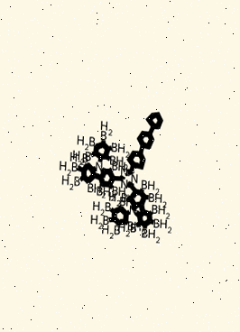 Bc1c(B)c(B)c(-n2c3c(B)c(B)c(B)c(B)c3c3c(B)c(B)c(-c4nc(-c5ccc(-c6ccc(-c7ccccc7)cc6)cc5)nc(-c5c(B)c(B)c6c7c(B)c(B)c(B)c(B)c7n(-c7c(B)c(B)c(B)c(B)c7B)c6c5B)n4)c(B)c32)c(B)c1B